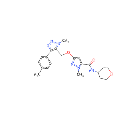 Cc1ccc(-c2nnn(C)c2COc2cc(C(=O)NC3CCOCC3)n(C)n2)cc1